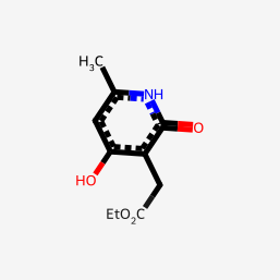 CCOC(=O)Cc1c(O)cc(C)[nH]c1=O